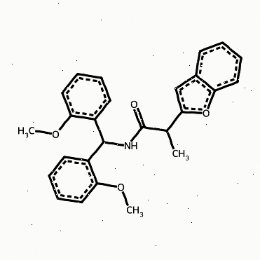 COc1ccccc1C(NC(=O)C(C)c1cc2ccccc2o1)c1ccccc1OC